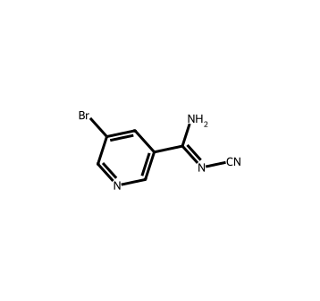 N#C/N=C(\N)c1cncc(Br)c1